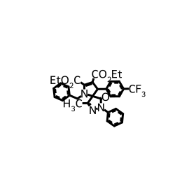 CCOC(=O)C1=C(C(=O)OCC)N(Cc2ccccc2)C2(C(=O)N(c3ccccc3)N=C2C)C1c1ccc(C(F)(F)F)cc1